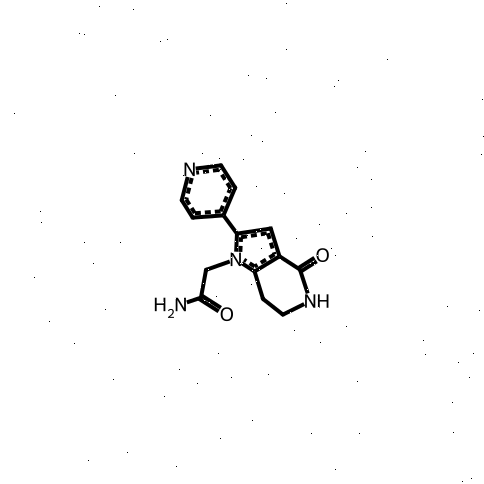 NC(=O)Cn1c(-c2ccncc2)cc2c1CCNC2=O